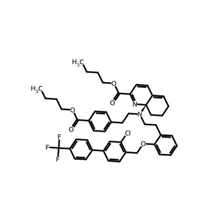 CCCCOC(=O)C1=N[C@@]2(N(CCc3ccc(C(=O)OCCCC)cc3)CCc3ccccc3OCc3ccc(-c4ccc(C(F)(F)F)cc4)cc3Cl)CCCC=C2C=C1